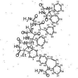 CCC1(c2ccccc2)C(=O)NC(=O)NC1=O.CCC1(c2ccccc2)NC(=O)N(C)C1=O.NC(=O)N1c2ccccc2C=Cc2ccccc21.NC(=O)NC(=O)Cc1ccccc1.O=C1NC(=O)C(c2ccccc2)(c2ccccc2)N1